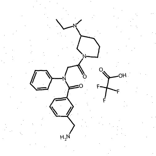 CCN(C)C1CCCN(C(=O)CN(C(=O)c2cccc(CN)c2)c2ccccc2)C1.O=C(O)C(F)(F)F